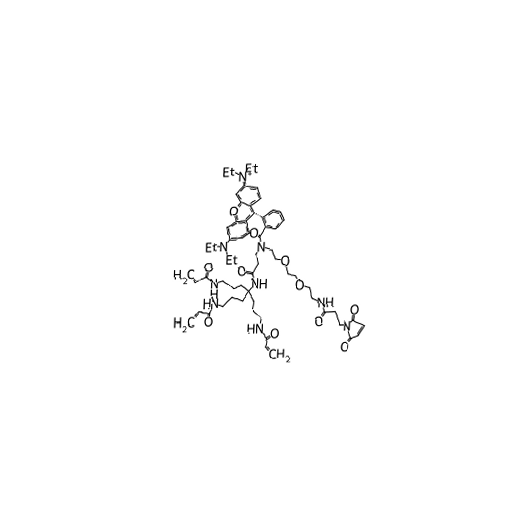 C=CC(=O)NCCCC(CCCNC(=O)C=C)(CCCNC(=O)C=C)NC(=O)CCN(CCOCCOCCNC(=O)CCN1C(=O)C=CC1=O)C(=O)c1ccccc1-c1c2ccc(=[N+](CC)CC)cc-2oc2cc(N(CC)CC)ccc12